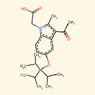 CC(=O)c1c(C)n(CC(=O)O)c2ccc(O[Si](C(C)C)(C(C)C)C(C)C)cc12